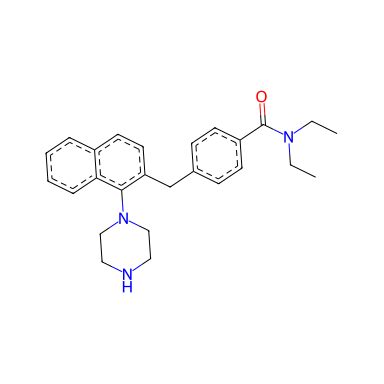 CCN(CC)C(=O)c1ccc(Cc2ccc3ccccc3c2N2CCNCC2)cc1